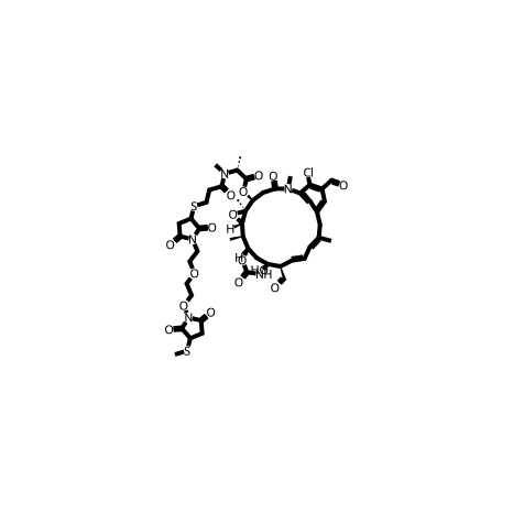 CSC1CC(=O)N(OCCOCCN2C(=O)CC(SCCC(=O)N(C)[C@H](C)C(=O)O[C@H]3CC(=O)N(C)c4cc(cc(C=O)c4Cl)C/C(C)=C/C=C/[C@@H](C=O)[C@@]4(O)C[C@H](OC(=O)N4)[C@@H](C)[C@@H]4O[C@@]34C)C2=O)C1=O